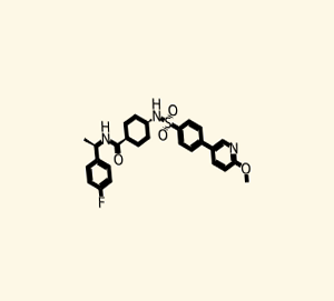 COc1ccc(-c2ccc(S(=O)(=O)N[C@H]3CC[C@H](C(=O)N[C@H](C)c4ccc(F)cc4)CC3)cc2)cn1